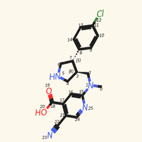 CN(C[C@H]1CNC[C@@H]1c1ccc(Cl)cc1)c1cc(C(=O)O)c(C#N)cn1